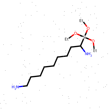 CCO[Si](OCC)(OCC)C(N)CCCCCCCCN